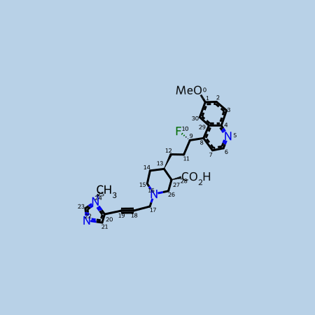 COc1ccc2nccc([C@@H](F)CC[C@@H]3CCN(CC#Cc4cncn4C)C[C@@H]3C(=O)O)c2c1